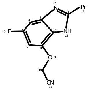 CC(C)c1nc2cc(F)cc(OCC#N)c2[nH]1